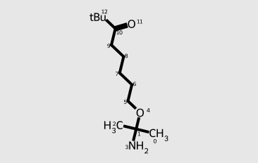 CC(C)(N)OCCCCCC(=O)C(C)(C)C